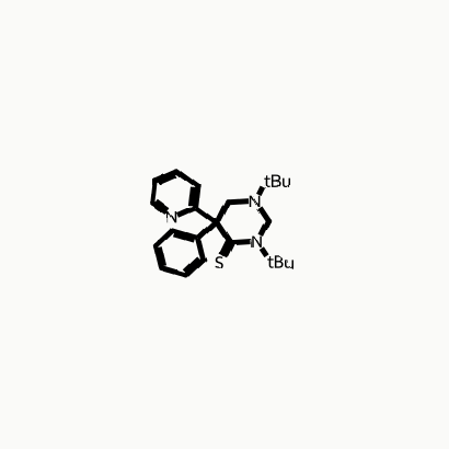 CC(C)(C)N1CN(C(C)(C)C)C(=S)C(c2ccccc2)(c2ccccn2)C1